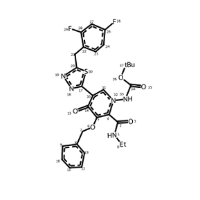 CCNC(=O)c1c(OCc2ccccc2)c(=O)c(-c2nnc(Cc3ccc(F)cc3F)s2)cn1NC(=O)OC(C)(C)C